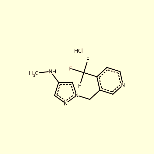 CNc1cnn(Cc2cnccc2C(F)(F)F)c1.Cl